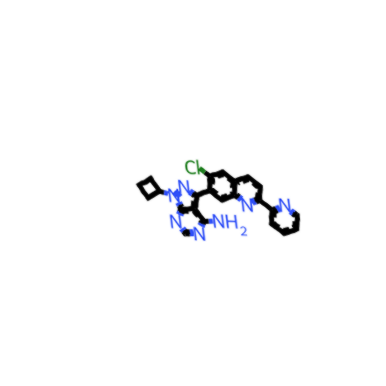 Nc1ncnc2c1c(-c1cc3nc(-c4ccccn4)ccc3cc1Cl)nn2C1CCC1